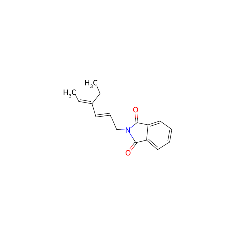 C/C=C(/C=C/CN1C(=O)c2ccccc2C1=O)CC